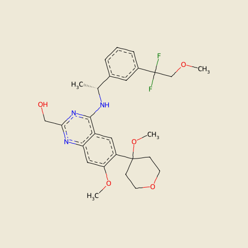 COCC(F)(F)c1cccc([C@@H](C)Nc2nc(CO)nc3cc(OC)c(C4(OC)CCOCC4)cc23)c1